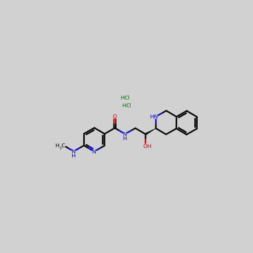 CNc1ccc(C(=O)NCC(O)[C@@H]2Cc3ccccc3CN2)cn1.Cl.Cl